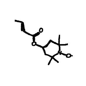 C/C=C/C(=O)OC1CC(C)(C)N([O])C(C)(C)C1